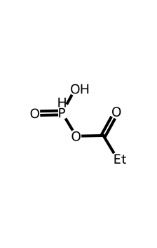 CCC(=O)O[PH](=O)O